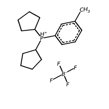 Cc1cccc([PH+](C2CCCC2)C2CCCC2)c1.F[B-](F)(F)F